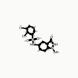 CCCn1[nH]c(=O)c2cc(NS(=O)(=O)c3cccc(Cl)c3Cl)ccc21